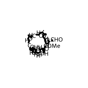 C=C1C[C@@H]2CC[C@@]34C[C@H]5O[C@H]6[C@@H](O3)[C@H]3O[C@H](CC[C@@H]3O[C@H]6[C@H]5O4)CC(=O)C[C@@H]3[C@@H](OC)[C@@H](CC=O)O[C@H]3C[C@H]3O[C@@H](CC[C@@H]1O2)C[C@@H](C)C3=C